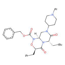 CC(C)C[C@H]1ON(C(=O)OCc2ccccc2)[C@H]2CN(C3CCN(C(C)C)CC3)C(=O)[C@H](CC(C)(C)C)N2C1=O